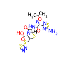 CC(C)ON=C(C(=O)NC1C(=O)N2C(C(=O)O)=C(CSc3nncs3)CS[C@@H]12)c1nsc(N)n1